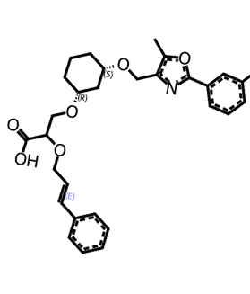 Cc1cccc(-c2nc(CO[C@H]3CCC[C@@H](OCC(OC/C=C/c4ccccc4)C(=O)O)C3)c(C)o2)c1